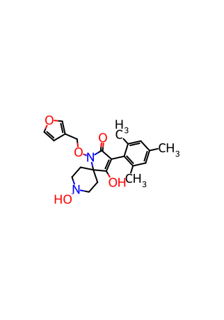 Cc1cc(C)c(C2=C(O)C3(CCN(O)CC3)N(OCc3ccoc3)C2=O)c(C)c1